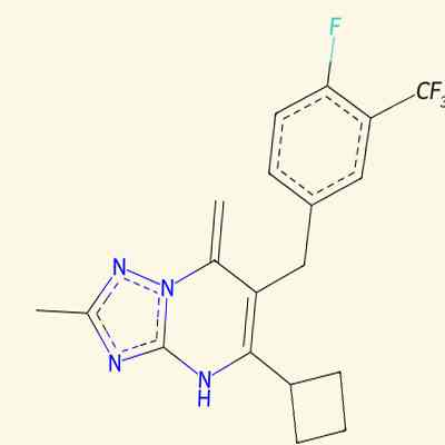 C=C1C(Cc2ccc(F)c(C(F)(F)F)c2)=C(C2CCC2)Nc2nc(C)nn21